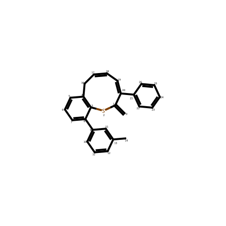 C=C1Sc2c(cccc2-c2cccc(C)c2)C/C=C\C=C/1c1ccccc1